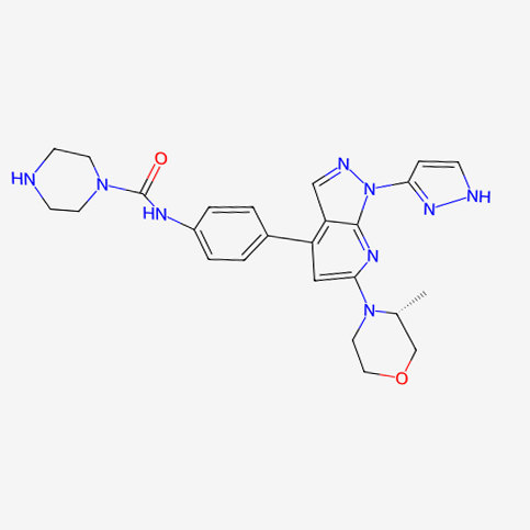 C[C@@H]1COCCN1c1cc(-c2ccc(NC(=O)N3CCNCC3)cc2)c2cnn(-c3cc[nH]n3)c2n1